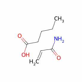 C=CC(N)=O.CCCCC(=O)O